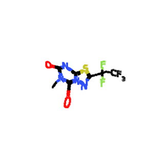 Cn1c(=O)nc2sc(C(F)(F)C(F)(F)F)nn2c1=O